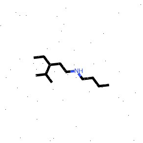 CCCCNCCC(CC)C(C)C